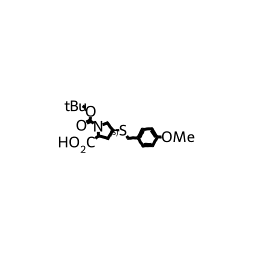 COc1ccc(CS[C@H]2CC(C(=O)O)N(C(=O)OC(C)(C)C)C2)cc1